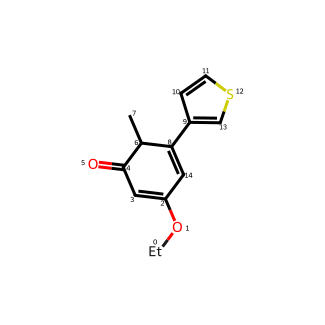 CCOC1=CC(=O)C(C)C(c2ccsc2)=C1